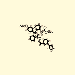 C=C(CO[C@H](c1ccccc1)[C@H]1CN(C(=O)OC(C)(C)C)c2cccnc2N1Cc1ccc(OC)cc1)c1cccc(-c2cnoc2)c1